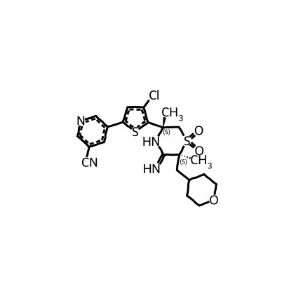 C[C@]1(CC2CCOCC2)C(=N)N[C@](C)(c2sc(-c3cncc(C#N)c3)cc2Cl)CS1(=O)=O